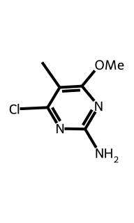 COc1nc(N)nc(Cl)c1C